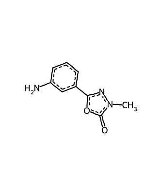 Cn1nc(-c2cccc(N)c2)oc1=O